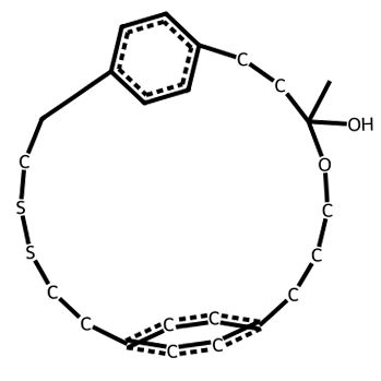 CC1(O)CCc2ccc(cc2)CCSSCCc2ccc(cc2)CCCO1